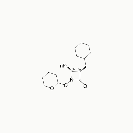 CCC[C@H]1[C@@H](CC2CCCCC2)C(=O)N1OC1CCCCO1